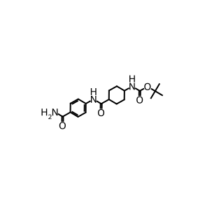 CC(C)(C)OC(=O)NC1CCC(C(=O)Nc2ccc(C(N)=O)cc2)CC1